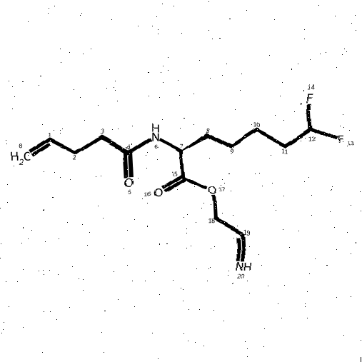 C=CCCC(=O)N[C@@H](CCCCC(F)F)C(=O)OCC=N